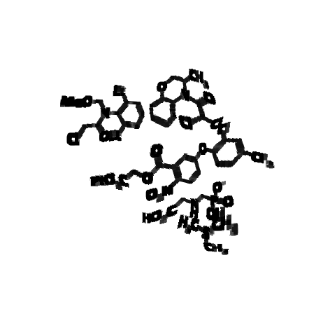 CC1COc2ccccc2N1C(=O)C(Cl)Cl.CCOC(=O)COC(=O)c1cc(Oc2ccc(C(F)(F)F)cc2Cl)ccc1[N+](=O)[O-].CCc1cccc(CC)c1N(COC)C(=O)CCl.C[S+](C)C.O=C(O)CNCP(=O)([O-])O